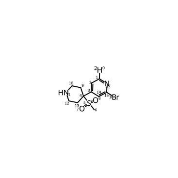 [2H]c1cc(C2(S(C)(=O)=O)CCNCC2)cc(Br)n1